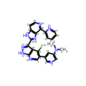 CN(C)c1cncc(-c2cnc3[nH]nc(-c4nc5c(-c6ccccn6)nccc5[nH]4)c3c2F)c1